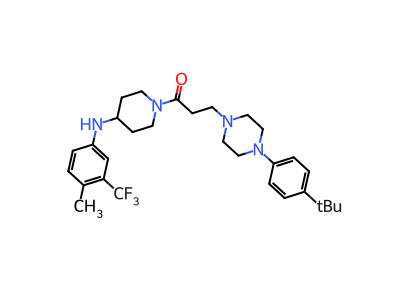 Cc1ccc(NC2CCN(C(=O)CCN3CCN(c4ccc(C(C)(C)C)cc4)CC3)CC2)cc1C(F)(F)F